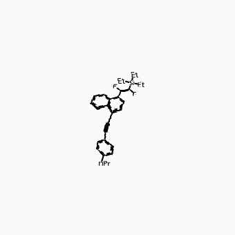 CCCc1ccc(C#Cc2ccc(/C(F)=C(\F)[Si](CC)(CC)CC)c3ccccc23)cc1